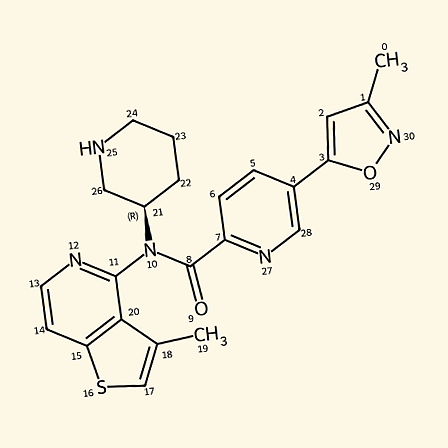 Cc1cc(-c2ccc(C(=O)N(c3nccc4scc(C)c34)[C@@H]3CCCNC3)nc2)on1